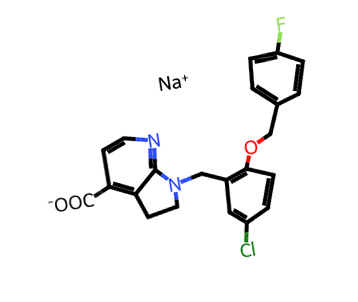 O=C([O-])c1ccnc2c1CCN2Cc1cc(Cl)ccc1OCc1ccc(F)cc1.[Na+]